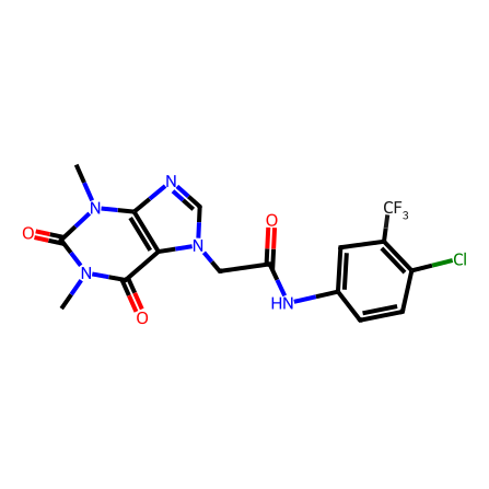 Cn1c(=O)c2c(ncn2CC(=O)Nc2ccc(Cl)c(C(F)(F)F)c2)n(C)c1=O